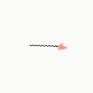 CCCCCCCCCCCCCCCC/C=C/CS(=O)(=O)O